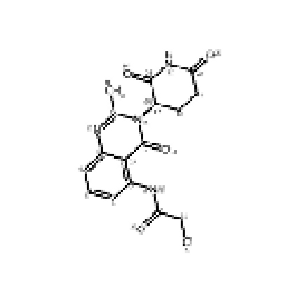 Cc1nc2cccc(NC(=O)CCl)c2c(=O)n1[C@@H]1CCC(=O)NC1=O